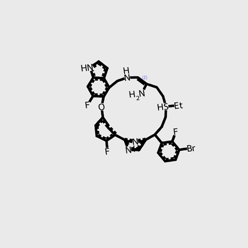 CC[SH]1CC/C(N)=C/NCc2c(c(F)cc3[nH]ccc23)Oc2ccc(F)c(c2)-c2ncc([nH]2)C(c2cccc(Br)c2F)CC1